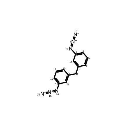 [N-]=[N+]=Nc1cccc(Cc2cccc(N=[N+]=[N-])c2)c1